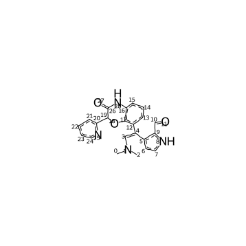 CN(C)/C=C(\c1cc[nH]c1C=O)c1cccc2c1OC(c1ccccn1)C(=O)N2